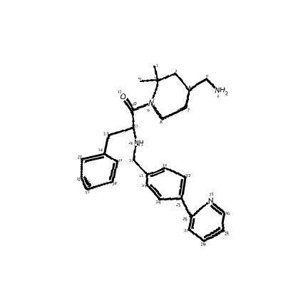 CC1(C)CC(CN)CCN1C(=O)C(Cc1ccccc1)NCc1ccc(-c2ccccn2)cc1